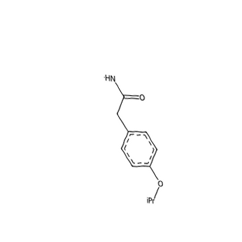 CC(C)Oc1ccc(CC([NH])=O)cc1